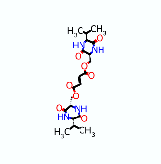 CC(C)[C@@H]1NC(=O)[C@H](COC(=O)/C=C/C(=O)OC[C@@H]2NC(=O)[C@H](C(C)C)NC2=O)NC1=O